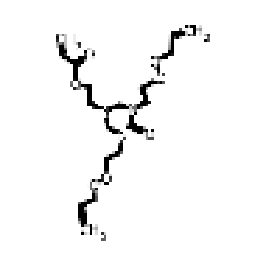 C=CCOOCCN1CN(CCOC(=O)C=C)CN(CCOOCC=C)C1=O